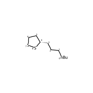 CCCCCCC[C@H]1CCSS1